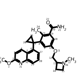 COc1ccc2c(C3(c4cc(OCC5CCN5C)cc(C(N)=O)c4C)CC3)cccc2n1